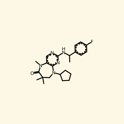 CC(Nc1ncc2c(n1)N(C1CCCC1)CC(C)(C)C(=O)N2C)c1ccc(F)cc1